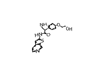 NCC(C(=O)Nc1cc2ccncc2s1)c1ccc(OCCO)cc1